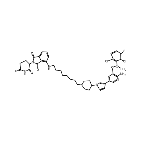 C[C@@H](Oc1cc(-c2cnn(C3CCN(CCCCCCCCNc4cccc5c4C(=O)N(C4CCC(=O)NC4=O)C5=O)CC3)c2)cnc1N)c1c(Cl)ccc(F)c1Cl